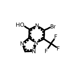 Oc1nc(Br)c(C(F)(F)F)n2ncnc12